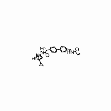 C=CC(=O)NCc1ccc(-c2ccc([C@@H](C)C(=O)Nc3cc(C4CC4)[nH]n3)cc2)cc1